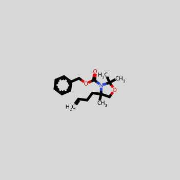 C=CCCC1(C)COC(C)(C)N1C(=O)OCc1ccccc1